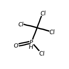 O=[PH](Cl)C(Cl)(Cl)Cl